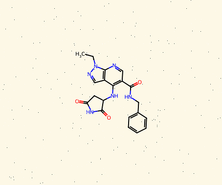 CCn1ncc2c(NC3CC(=O)NC3=O)c(C(=O)NCc3ccccc3)cnc21